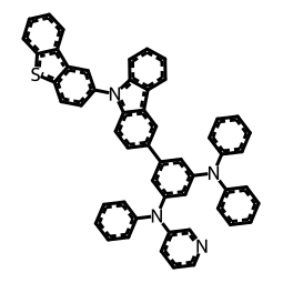 c1ccc(N(c2ccccc2)c2cc(-c3ccc4c(c3)c3ccccc3n4-c3ccc4sc5ccccc5c4c3)cc(N(c3ccccc3)c3cccnc3)c2)cc1